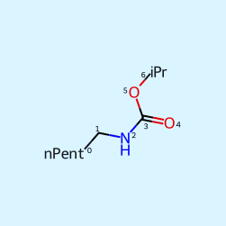 CCCCCCNC(=O)OC(C)C